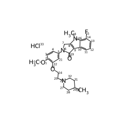 COc1ccc(N2Cc3c(c4cccc(F)c4n3C)C2=O)cc1OCCN1CCC(C)CC1.Cl